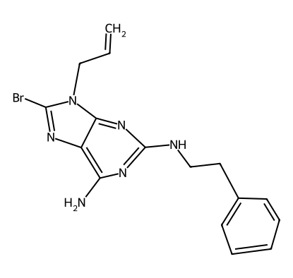 C=CCn1c(Br)nc2c(N)nc(NCCc3ccccc3)nc21